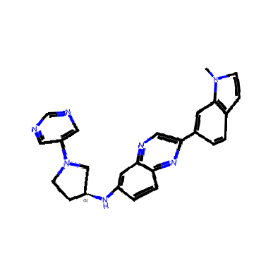 Cn1ccc2ccc(-c3cnc4cc(N[C@H]5CCN(c6cncnc6)C5)ccc4n3)cc21